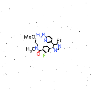 CCc1ncnc(-c2ccc(C(=O)N(C)CCCOC)c(F)c2)c1-c1ccc(N)nc1